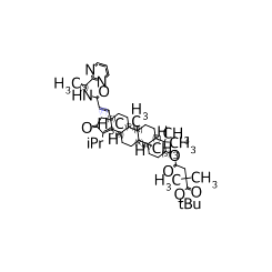 CC(C)C1=C2[C@H]3CC[C@@H]4[C@@]5(C)CC[C@H](OC(=O)CC(C)(C)C(=O)OC(C)(C)C)C(C)(C)[C@@H]5CC[C@@]4(C)[C@]3(C)CC[C@@]2(/C=C/C(=O)N[C@@H](C)c2ncccn2)CC1=O